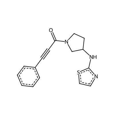 O=C(C#Cc1ccccc1)N1CCC(Nc2nccs2)C1